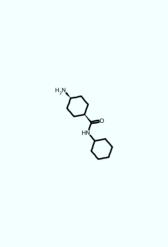 N[C@H]1CC[C@@H](C(=O)NC2CCCCC2)CC1